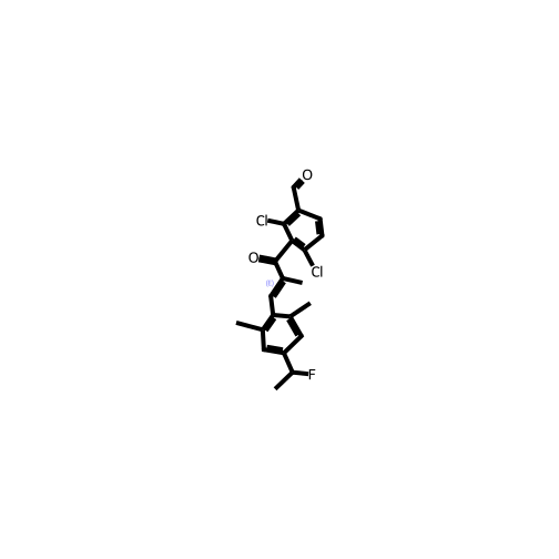 C/C(=C\c1c(C)cc(C(C)F)cc1C)C(=O)c1c(Cl)ccc(C=O)c1Cl